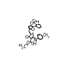 CCOC(=O)C1=C(Nc2ccc(C)cc2)S/C(=C\c2ccc(-c3ccccc3C(=O)O)o2)C1=O